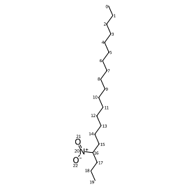 CCCCCCCCCCCCCCCCC(CCC)[N+](=O)[O-]